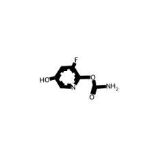 NC(=O)Oc1ncc(O)cc1F